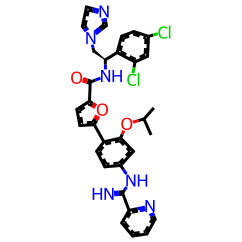 CC(C)Oc1cc(NC(=N)c2ccccn2)ccc1-c1ccc(C(=O)N[C@@H](Cn2ccnc2)c2ccc(Cl)cc2Cl)o1